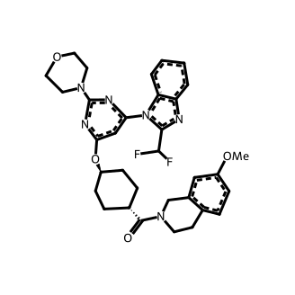 COc1ccc2c(c1)CN(C(=O)[C@H]1CC[C@H](Oc3cc(-n4c(C(F)F)nc5ccccc54)nc(N4CCOCC4)n3)CC1)CC2